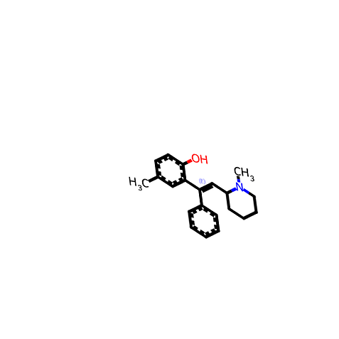 Cc1ccc(O)c(/C(=C/C2CCCCN2C)c2ccccc2)c1